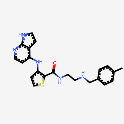 Cc1ccc(CNCCNC(=O)c2sccc2Nc2ccnc3[nH]ccc23)cc1